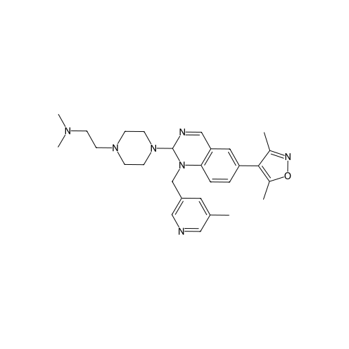 Cc1cncc(CN2c3ccc(-c4c(C)noc4C)cc3C=NC2N2CCN(CCN(C)C)CC2)c1